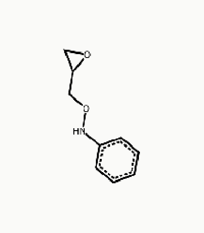 c1ccc(NOCC2CO2)cc1